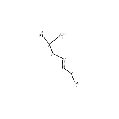 CCC(O)C/C=C/CC(C)C